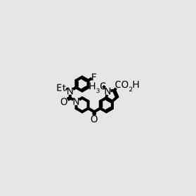 CCN(C(=O)N1CCC(C(=O)c2ccc3cc(C(=O)O)n(C)c3c2)CC1)c1ccc(F)cc1